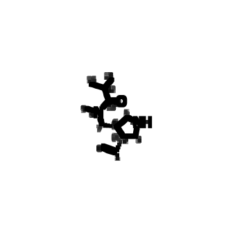 C=C[C@H]1CNC[C@H]1CN(C)C(=O)C(C)C